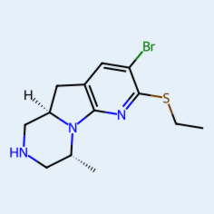 CCSc1nc2c(cc1Br)C[C@@H]1CNC[C@@H](C)N21